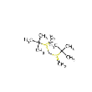 C=S(CS(=C)C(C)(C)C)C(C)(C)C